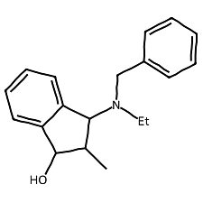 CCN(Cc1ccccc1)C1c2ccccc2C(O)C1C